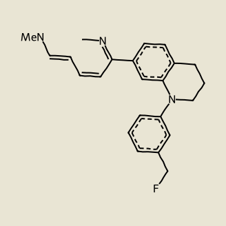 C\N=C(/C=C\C=C\NC)c1ccc2c(c1)N(c1cccc(CF)c1)CCC2